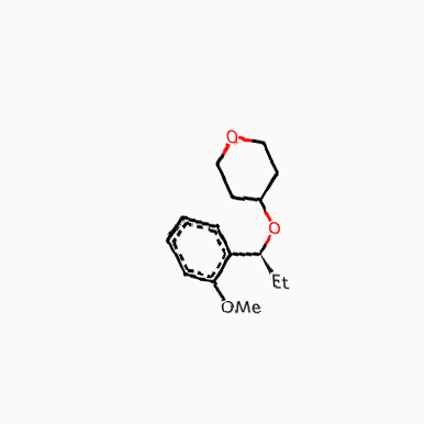 CC[C@H](OC1CCOCC1)c1ccccc1OC